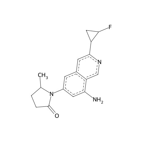 CC1CCC(=O)N1c1cc(N)c2cnc(C3CC3F)cc2c1